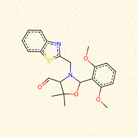 COc1cccc(OC)c1C1OC(C)(C)C(C=O)N1Cc1nc2ccccc2s1